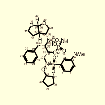 CNc1cccc(S(=O)(=O)N(C[C@@H](OP(=O)(O)O)[C@H](Cc2ccccc2)N(C(=O)O)[C@H]2CO[C@H]3OCC[C@H]32)OC2CCCC2)c1